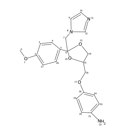 COc1ccc(C2(Cn3ccnc3)OCC(COc3ccc(N)cc3)O2)cc1